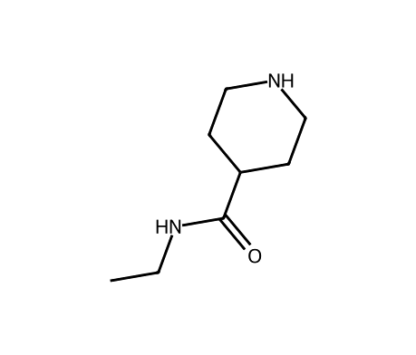 CCNC(=O)C1CCNCC1